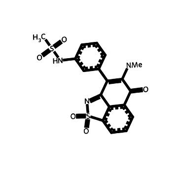 CNC1=C(c2cccc(NS(C)(=O)=O)c2)C2=NS(=O)(=O)c3cccc(c32)C1=O